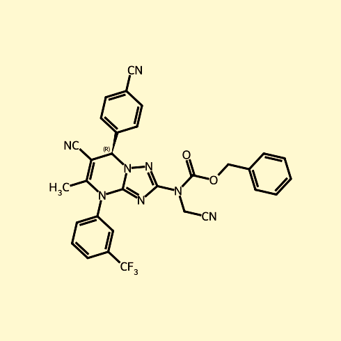 CC1=C(C#N)[C@@H](c2ccc(C#N)cc2)n2nc(N(CC#N)C(=O)OCc3ccccc3)nc2N1c1cccc(C(F)(F)F)c1